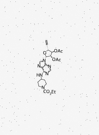 C#C[C@H]1O[C@@H](n2cnc3c(NC4CCN(C(=O)OCC)CC4)ncnc32)[C@H](OC(C)=O)[C@@H]1OC(C)=O